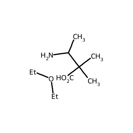 CC(N)C(C)(C)C(=O)O.CCOCC